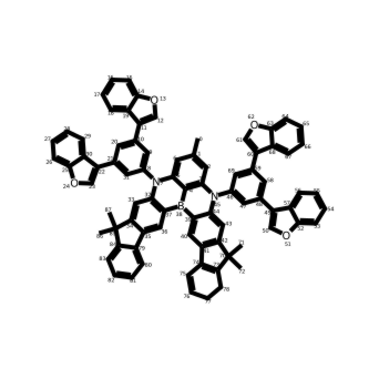 Cc1cc2c3c(c1)N(c1cc(-c4coc5ccccc45)cc(-c4coc5ccccc45)c1)c1cc4c(cc1B3c1cc3c(cc1N2c1cc(-c2coc5ccccc25)cc(-c2coc5ccccc25)c1)C(C)(C)C1=C3C=CCC1)-c1ccccc1C4(C)C